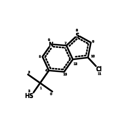 CC(C)(S)c1cnc2scc(Cl)c2c1